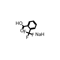 O=C(O)c1ccccc1C(F)(F)F.[NaH]